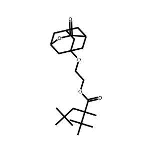 CC(C)(C)CC(C)(C(=O)OCCOC12CC3CC(C1)OC(=O)C(C3)C2)C(C)(C)C